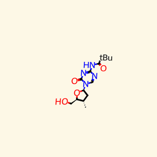 C[C@H]1C[C@H](n2cnc(NC(=O)C(C)(C)C)nc2=O)O[C@@H]1CO